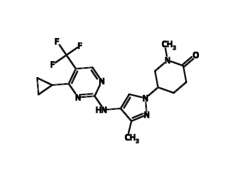 Cc1nn(C2CCC(=O)N(C)C2)cc1Nc1ncc(C(F)(F)F)c(C2CC2)n1